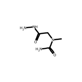 CN(CC(=O)NN)C(N)=O